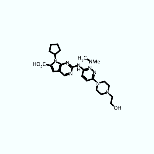 CNC.O=C(O)c1cc2cnc(Nc3ccc(N4CCN(CCO)CC4)nn3)nc2n1C1CCCC1